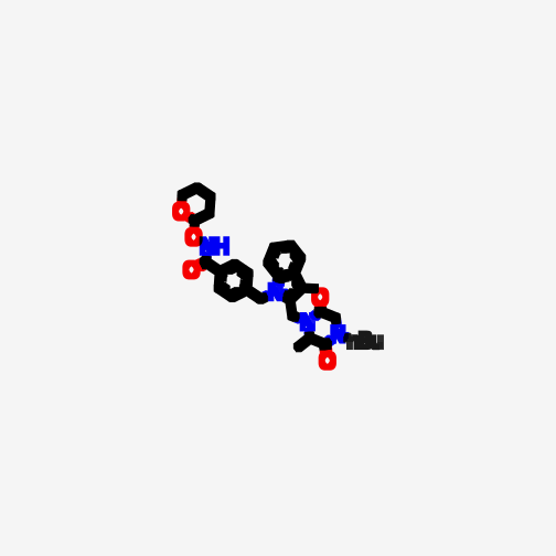 CCCCN1CC(=O)N(Cc2c(C)c3ccccc3n2Cc2ccc(C(=O)NOC3CCCCO3)cc2)C(C)C1=O